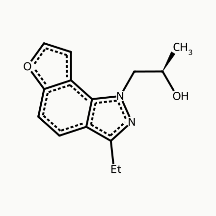 CCc1nn(C[C@@H](C)O)c2c1ccc1occc12